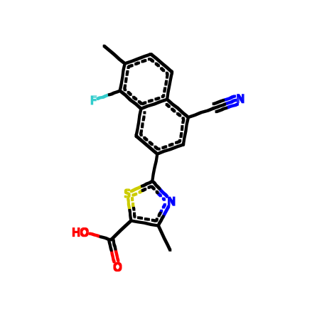 Cc1ccc2c(C#N)cc(-c3nc(C)c(C(=O)O)s3)cc2c1F